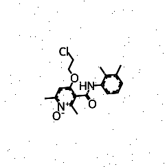 Cc1cccc(NC(=O)c2c(OCCCl)cc(C)[n+]([O-])c2C)c1C